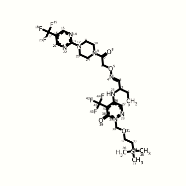 CCC(/C=N/OCC(=O)N1CCN(c2ncc(C(F)(F)F)cn2)CC1)Nc1cnn(COCC[Si](C)(C)C)c(=O)c1C(F)(F)F